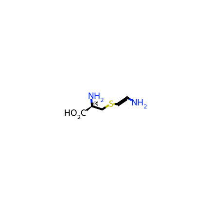 NC=CSC[C@H](N)C(=O)O